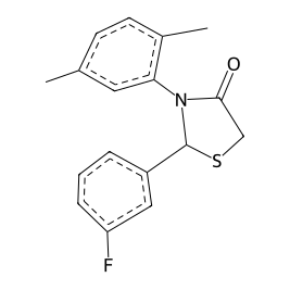 Cc1ccc(C)c(N2C(=O)CSC2c2cccc(F)c2)c1